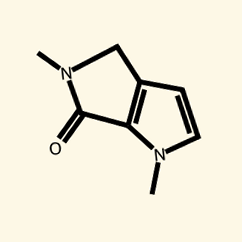 CN1Cc2ccn(C)c2C1=O